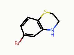 Brc1ccc2c(c1)NCCS2